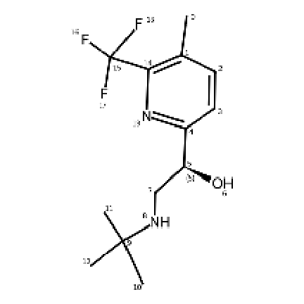 Cc1ccc([C@@H](O)CNC(C)(C)C)nc1C(F)(F)F